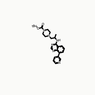 CC(CN1CCN(C(=O)OC(C)(C)C)CC1)Nc1ncnc2c(-c3cccnc3)cccc12